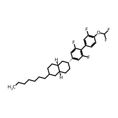 CCCCCCCC1CC[C@@H]2C[C@H](c3cc(F)c(-c4ccc(OC(F)F)c(F)c4)c(F)c3)CC[C@@H]2C1